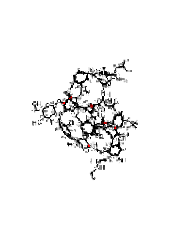 CCNNC(=O)[C@@H]1NC(=O)[C@H]2NC(=O)[C@H](NC(=O)[C@@H]3NC(=O)[C@H](CC(N)=O)NC(=O)[C@H](NC(=O)[C@@H](CC(C)C)NC)[C@H](O)c4ccc(c(Cl)c4)Oc4cc3cc(c4O[C@@H]3O[C@H](CO)[C@@H](O)[C@H](O)[C@H]3O[C@H]3C[C@](C)(NCc4cccc(NC(=O)c5ccc(OC(F)(F)F)cc5)c4)[C@H](O)[C@H](C)O3)Oc3ccc(cc3Cl)[C@H]2O)c2ccc(O)c(c2)-c2c(O)cc(O)cc21